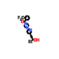 CCC(O)C#Cc1ccc(N2CCN(C(=O)c3ccccc3C(F)(F)F)CC2)nc1